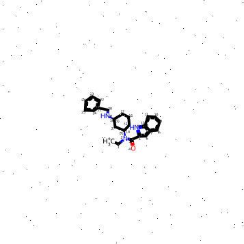 CCN(C(=O)c1cc2ccccc2[nH]1)[C@@H]1CCC[C@H](NCc2ccccc2)C1